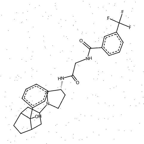 O=C(CNC(=O)c1cccc(C(F)(F)F)c1)N[C@@H]1CCN(C2CC3CCC(C2)C3(O)c2ccccc2)C1